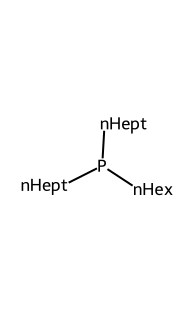 CCCCCCCP(CCCCCC)CCCCCCC